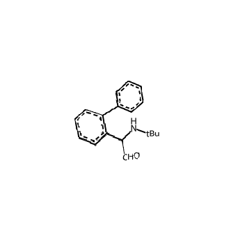 CC(C)(C)NC(C=O)c1ccccc1-c1ccccc1